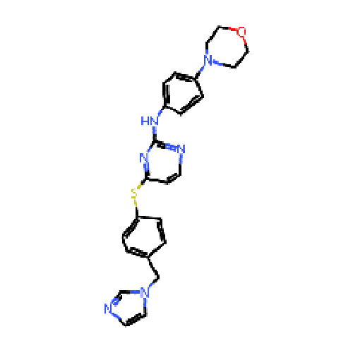 c1cn(Cc2ccc(Sc3ccnc(Nc4ccc(N5CCOCC5)cc4)n3)cc2)cn1